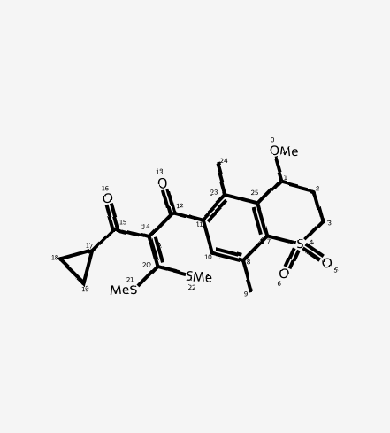 COC1CCS(=O)(=O)c2c(C)cc(C(=O)C(C(=O)C3CC3)=C(SC)SC)c(C)c21